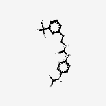 O=C(NCCc1cccc(C(F)(F)F)c1)Nc1ccc(OC(F)F)cc1